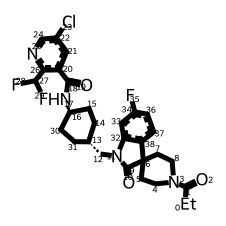 CCC(=O)N1CCC2(CC1)C(=O)N(C[C@H]1CC[C@H](NC(=O)c3cc(Cl)cnc3C(F)F)CC1)c1cc(F)ccc12